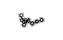 C1=CCCC(c2ccc3c4ccccc4n(C4N=C(c5cccc(-c6ccc(-c7ccccc7)cc6)c5)C=CN4)c3c2)=C1